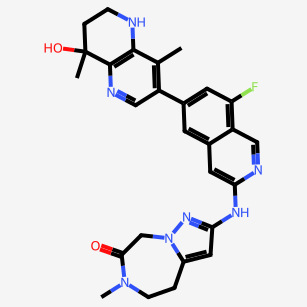 Cc1c(-c2cc(F)c3cnc(Nc4cc5n(n4)CC(=O)N(C)CC5)cc3c2)cnc2c1NCCC2(C)O